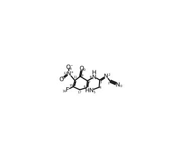 N#C/N=C1\CNC2=C(N1)C(=O)C([N+](=O)[O-])=C(F)C2